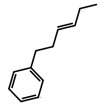 CC/C=C/CCc1c[c]ccc1